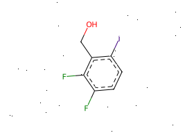 OCc1c(I)ccc(F)c1F